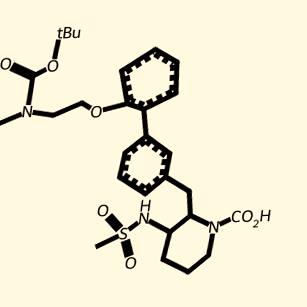 CN(CCOc1ccccc1-c1cccc(CC2C(NS(C)(=O)=O)CCCN2C(=O)O)c1)C(=O)OC(C)(C)C